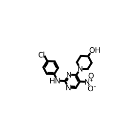 O=[N+]([O-])c1cnc(Nc2ccc(Cl)cc2)nc1N1CCC(O)CC1